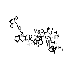 CC[C@H](C)[C@@H]([C@@H](CC(=O)N1CCC[C@H]1[C@H](OC)[C@@H](C)C(=O)N[C@@H](Cc1ccccc1)C(=O)NCCOCCN1C(=O)C=CC1=O)OC)N(C)C(=O)[C@@H](NC(=O)C1[C@H]2CC[C@H](C2)N1C)C(C)C